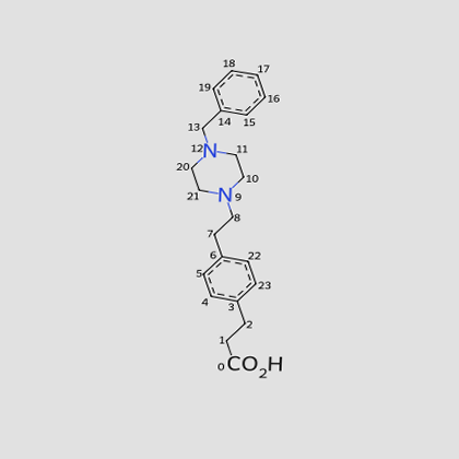 O=C(O)CCc1ccc(CCN2CCN(Cc3ccccc3)CC2)cc1